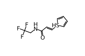 O=C(C=C[SH]1C=CC=C1)NCC(F)(F)F